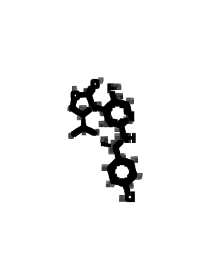 CC(C)[C@H]1COC(=O)N1c1nc(N[C@@H](C)c2ccc(Cl)cc2)ncc1F